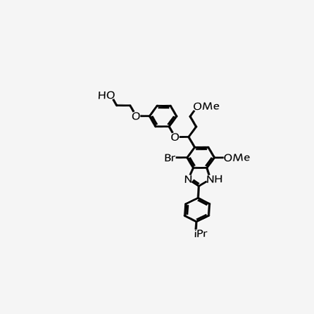 COCCC(Oc1cccc(OCCO)c1)c1cc(OC)c2[nH]c(-c3ccc(C(C)C)cc3)nc2c1Br